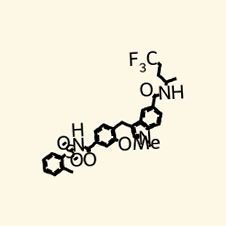 COc1cc(C(=O)NS(=O)(=O)c2ccccc2C)ccc1Cc1cn(C)c2ccc(C(=O)NC(C)CCC(F)(F)F)cc12